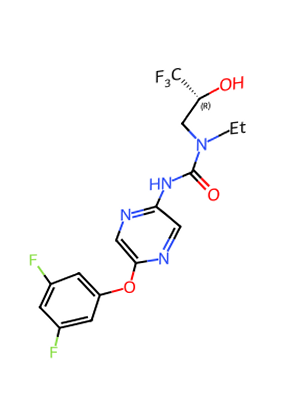 CCN(C[C@@H](O)C(F)(F)F)C(=O)Nc1cnc(Oc2cc(F)cc(F)c2)cn1